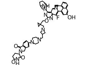 C#Cc1cccc2cc(O)cc(-c3ncc4c(N5CC6CCC(C5)N6)nc(OCC5(CN6CC(CN7CCN(c8ccc9c(c8)CN([C@H]8CCC(=O)NC8=O)C9=O)CC7)C6)CC5)nc4c3F)c12